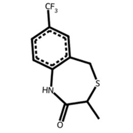 CC1SCc2cc(C(F)(F)F)ccc2NC1=O